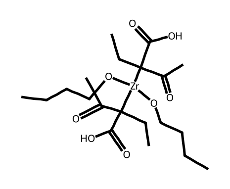 CCCC[O][Zr]([O]CCCC)([C](CC)(C(C)=O)C(=O)O)[C](CC)(C(C)=O)C(=O)O